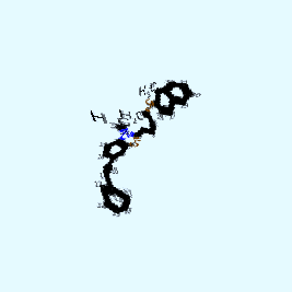 C=C(/C=C\C=C1/Sc2cc(/C=C/c3ccccc3)ccc2N1CC)Sc1ccc2ccccc2c1C